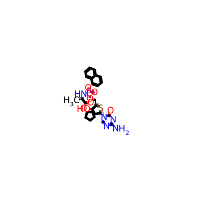 C[C@H](NP(=O)(OC[C@H]1S[C@@H](n2cnc(N)nc2=O)CC1O)Oc1cccc2ccccc12)C(=O)OC1CCCC1